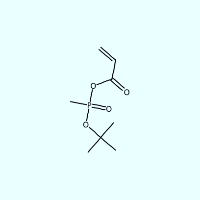 C=CC(=O)OP(C)(=O)OC(C)(C)C